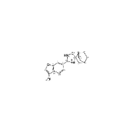 FC(F)(F)c1csc2cc(N3NO[C@@]4(CC5CCC4CC5)N3)ccc12